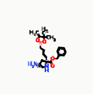 CC1OB(CCCC[C@@]2(C(=O)OCc3ccccc3)C[C@@H](N)CN2)OC1(C)C